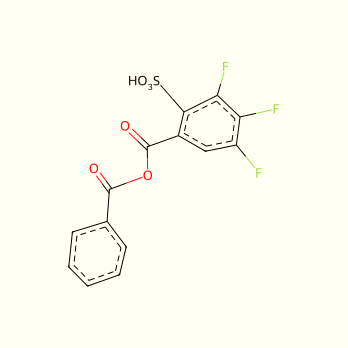 O=C(OC(=O)c1cc(F)c(F)c(F)c1S(=O)(=O)O)c1ccccc1